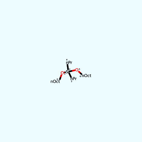 CCCCCCCCO[Si](CCC)(CCC)OCCCCCCCC